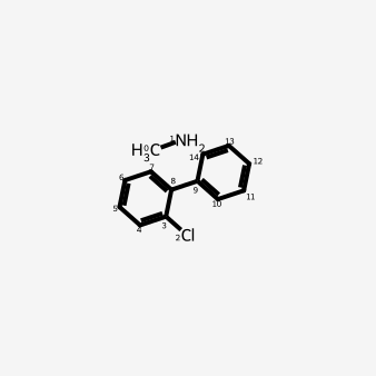 CN.Clc1ccccc1-c1ccccc1